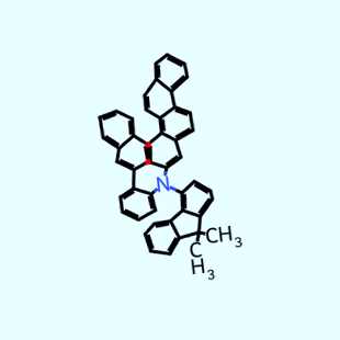 CC1(C)c2ccccc2-c2c(N(c3ccc4c(ccc5c6ccccc6ccc45)c3)c3ccccc3-c3ccc4ccccc4c3)cccc21